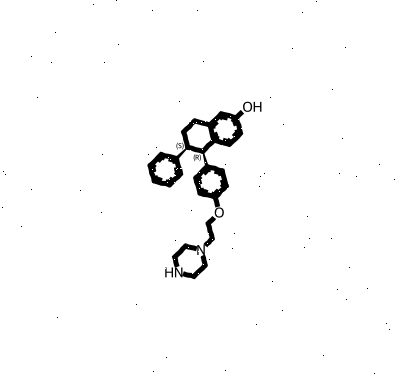 Oc1ccc2c(c1)CC[C@H](c1ccccc1)[C@@H]2c1ccc(OCCN2CCNCC2)cc1